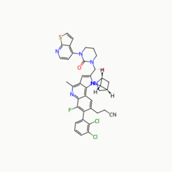 Cc1nc2c(F)c(-c3cccc(Cl)c3Cl)c(CCC#N)cc2c2c1cc([C@@H](C)N1CCCN(c3ccnc4sccc34)C1=O)n2[C@H]1[C@H]2CN[C@@H]1C2